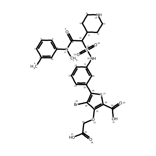 Cc1cccc(N(C)C(=O)C(C2CCNCC2)S(=O)(=O)Nc2cccc(-c3sc(C(=O)O)c(OCC(=O)O)c3Br)c2)c1